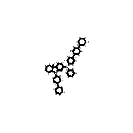 CC12CC=CC=C1N(C1=CC=C(C3=CC=CCC3)CC1)c1cc(N(c3ccccc3)c3ccc(C4=CCC(C5=CCCCC5)C=C4)cc3)ccc12